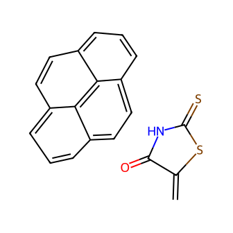 C=C1SC(=S)NC1=O.c1cc2ccc3cccc4ccc(c1)c2c34